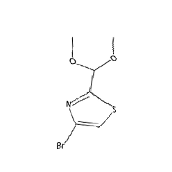 COC(OC)c1nc(Br)cs1